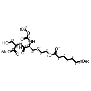 CCCCCCCCCCCCCCCC(=O)OCCSC[C@H](NC(=O)OC(C)(C)C)C(=O)NC(CO)C(=O)OC